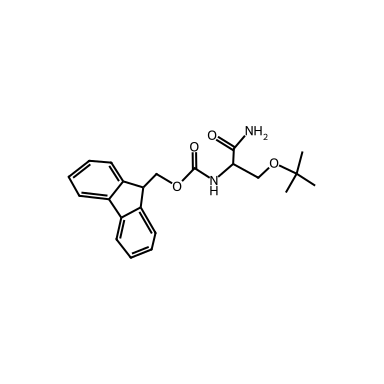 CC(C)(C)OCC(NC(=O)OCC1c2ccccc2-c2ccccc21)C(N)=O